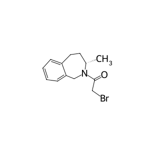 C[C@H]1CCc2ccccc2CN1C(=O)CBr